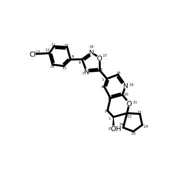 O[C@H]1Cc2cc(-c3nc(-c4ccc(Cl)cc4)no3)cnc2OC12CCCC2